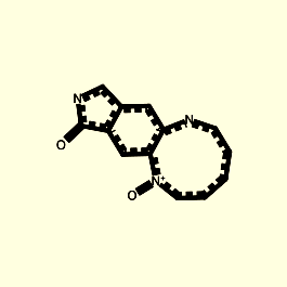 O=c1ncc2cc3nccccc[n+](=O)c3cc12